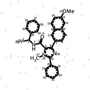 CCCC(NC(=O)c1c(-c2ccc3cc(OC)ccc3c2)nc(-c2ccccc2)n1C)c1ccccc1